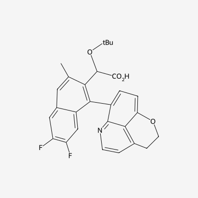 Cc1cc2cc(F)c(F)cc2c(-c2ccc3c4c(ccnc24)CCO3)c1C(OC(C)(C)C)C(=O)O